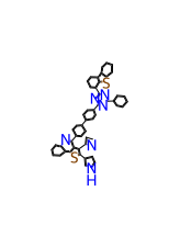 C1=NC(c2c(-c3cc[nH]c3)sc3c2c(-c2ccc(-c4ccc(-c5nc(-c6ccccc6)nc(-c6cccc7c6sc6ccccc67)n5)cc4)cc2)nc2ccccc23)=C1